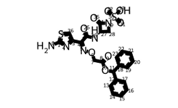 Nc1nc(C(=NOCC(=O)OC(c2ccccc2)c2ccccc2)C(=O)N[C@H]2CN(S(=O)(=O)O)C2=O)cs1